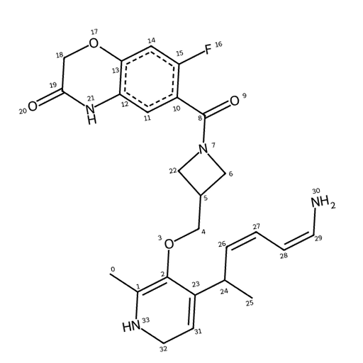 CC1=C(OCC2CN(C(=O)c3cc4c(cc3F)OCC(=O)N4)C2)C(C(C)/C=C\C=C/N)=CCN1